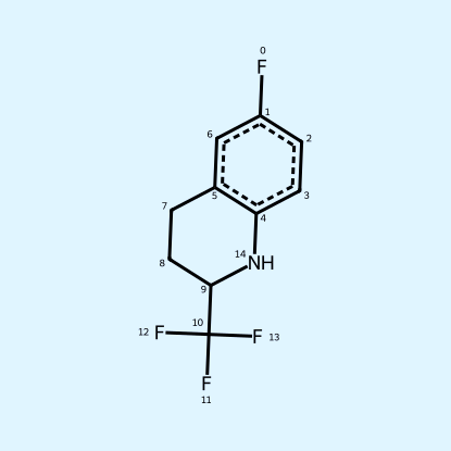 Fc1ccc2c(c1)CCC(C(F)(F)F)N2